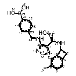 O/N=C(/N[C@H]1Cc2ccc(F)cc21)c1nonc1NCc1ccc(B(O)O)cc1